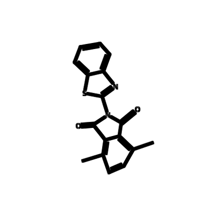 Cc1ccc(C)c2c1C(=O)N(c1nc3ccccc3s1)C2=O